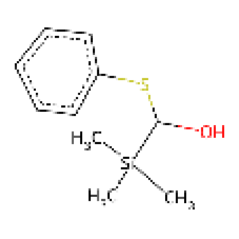 C[Si](C)(C)C(O)Sc1ccccc1